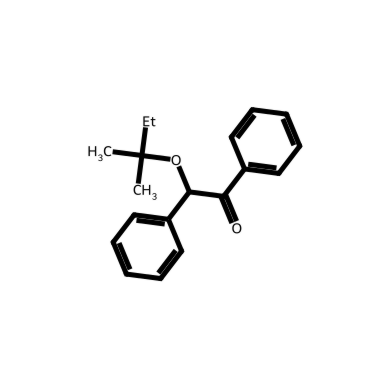 CCC(C)(C)OC(C(=O)c1ccccc1)c1ccccc1